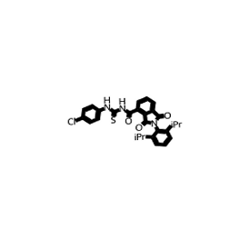 CC(C)c1cccc(C(C)C)c1N1C(=O)c2cccc(C(=O)NC(=S)Nc3ccc(Cl)cc3)c2C1=O